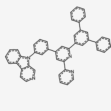 c1ccc(-c2cc(-c3ccccc3)cc(-c3cc(-c4cccc(-n5c6ccccc6c6ccncc65)c4)cc(-c4ccccn4)n3)c2)cc1